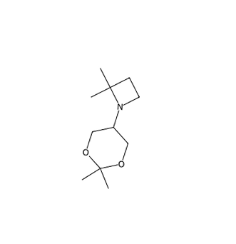 CC1(C)OCC(N2CCC2(C)C)CO1